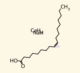 CCCCCCCC/C=C\CCCCCCCC(=O)O.[CaH2].[NaH]